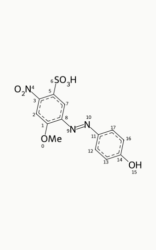 COc1cc([N+](=O)[O-])c(S(=O)(=O)O)cc1N=Nc1ccc(O)cc1